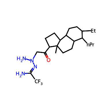 CCCC1C(CC)CCC2C1CCC1(C)C(C(=O)CN(N)/N=C(\N)C(F)(F)F)CCC21